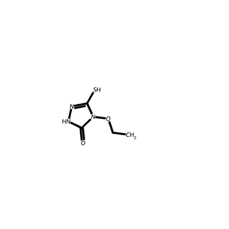 CCOn1c(S)n[nH]c1=O